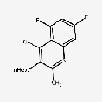 CCCCCCCc1c(C)nc2cc(F)cc(F)c2c1Cl